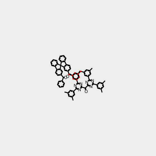 Cc1cc(C)cc(-c2nc(C(=O)c3nc(-c4cc(C)cc(C)c4)nc(-c4cc(C)cc(Cc5cccc(C(=O)c6ccc7c(c6)C6(c8ccccc8-c8ccc(C(=O)c9ccccc9)cc86)c6ccccc6-7)c5)c4)n3)nc(-c3cc(C)cc(C)c3)n2)c1